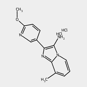 COc1ccc(-c2nc3c(C)cccn3c2N)cn1.Cl.Cl